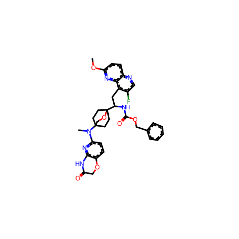 COc1ccc2ncc(F)c(CC(NC(=O)OCc3ccccc3)C34CCC(N(C)c5ccc6c(n5)NC(=O)CO6)(CC3)CO4)c2n1